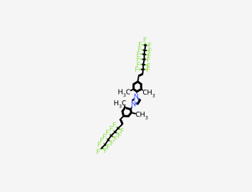 Cc1cc(/C=C/C(F)(F)C(F)(F)C(F)(F)C(F)(F)C(F)(F)C(F)(F)F)cc(C)c1-n1cc[n+](-c2c(C)cc(/C=C/C(F)(F)C(F)(F)C(F)(F)C(F)(F)C(F)(F)C(F)(F)F)cc2C)c1